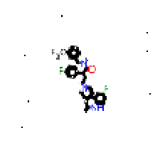 C=C1CC2(CCN(CCC(C(=O)N(C)Cc3cccc(C(F)(F)F)c3)c3ccc(F)cc3)CC2)c2cc(F)ccc2N1